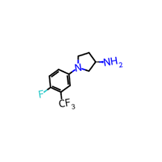 N[C@@H]1CCN(c2ccc(F)c(C(F)(F)F)c2)C1